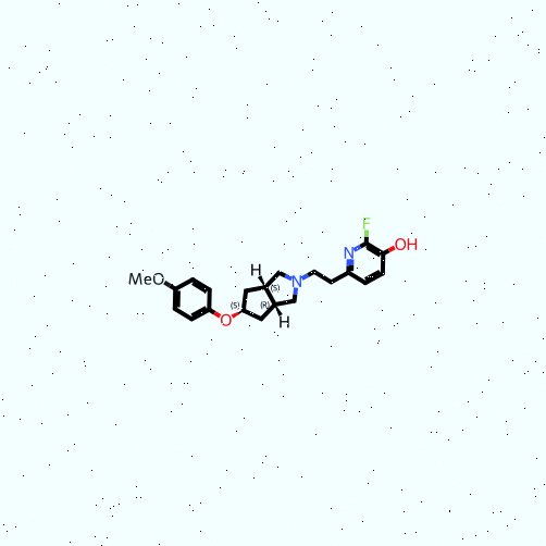 COc1ccc(O[C@H]2C[C@@H]3CN(CCc4ccc(O)c(F)n4)C[C@@H]3C2)cc1